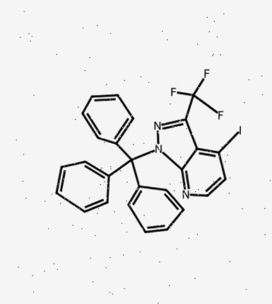 FC(F)(F)c1nn(C(c2ccccc2)(c2ccccc2)c2ccccc2)c2nccc(I)c12